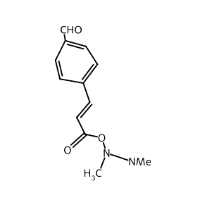 CNN(C)OC(=O)C=Cc1ccc(C=O)cc1